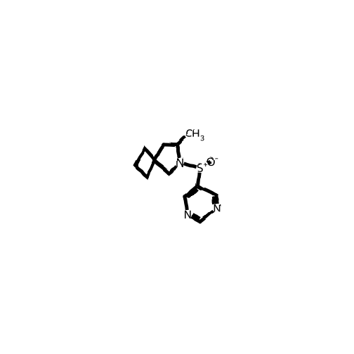 CC1CC2(CCC2)CN1[S+]([O-])c1cncnc1